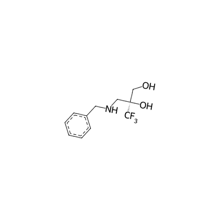 OC[C@@](O)(CNCc1ccccc1)C(F)(F)F